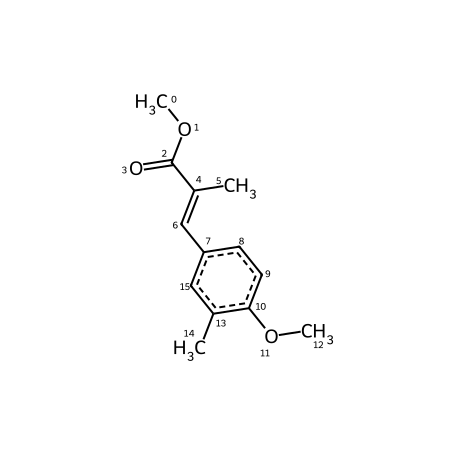 COC(=O)/C(C)=C/c1ccc(OC)c(C)c1